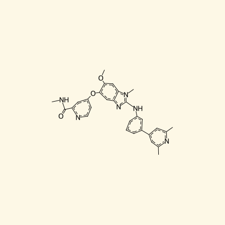 CNC(=O)c1cc(Oc2cc3nc(Nc4cccc(-c5cc(C)nc(C)c5)c4)n(C)c3cc2OC)ccn1